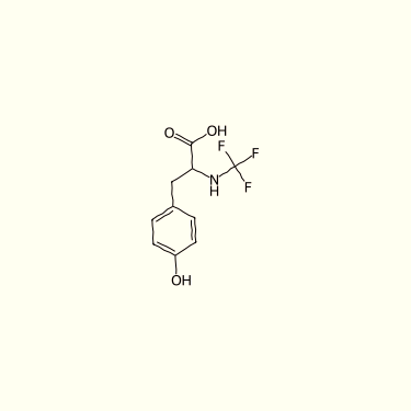 O=C(O)C(Cc1ccc(O)cc1)NC(F)(F)F